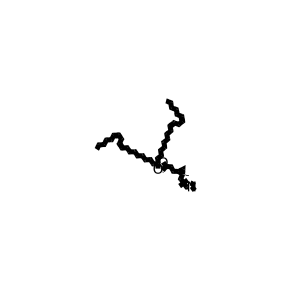 CCCCC/C=C\C/C=C\CCCCCCCCC1(CCCCCCCC/C=C\C/C=C\CCCCC)OCC(CCC2C[C@@]2(C)CC(C)(C)CN(C)C)O1